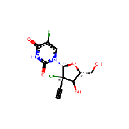 C#C[C@@]1(Cl)C(O)[C@@H](CO)O[C@H]1n1cc(F)c(=O)[nH]c1=O